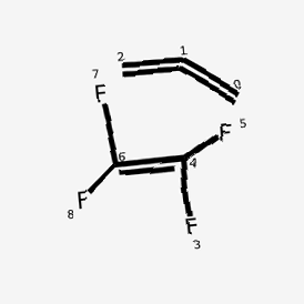 C=C=C.FC(F)=C(F)F